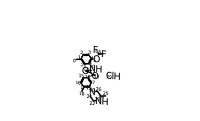 Cc1ccc(OC(F)F)c(NS(=O)(=O)c2ccc(C)c(N3CCNC(C)C3)c2)c1.Cl